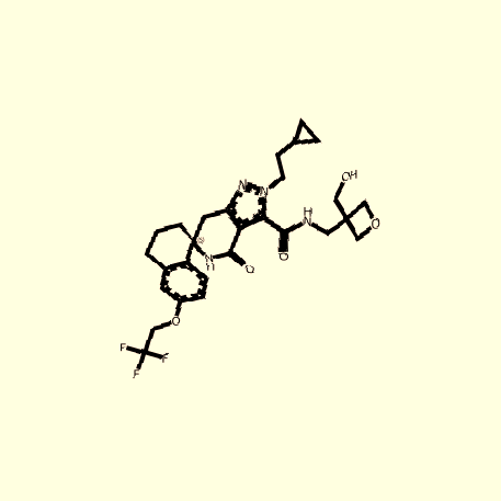 O=C1N[C@@]2(CCCc3cc(OCC(F)(F)F)ccc32)Cc2nn(CCC3CC3)c(C(=O)NCC3(CO)COC3)c21